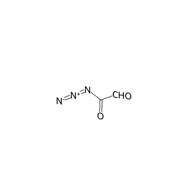 [N-]=[N+]=NC(=O)C=O